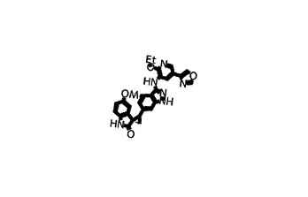 CCOc1ncc(-c2cocn2)cc1Nc1n[nH]c2cc(C3C[C@@]34C(=O)Nc3ccc(OC)cc34)ccc12